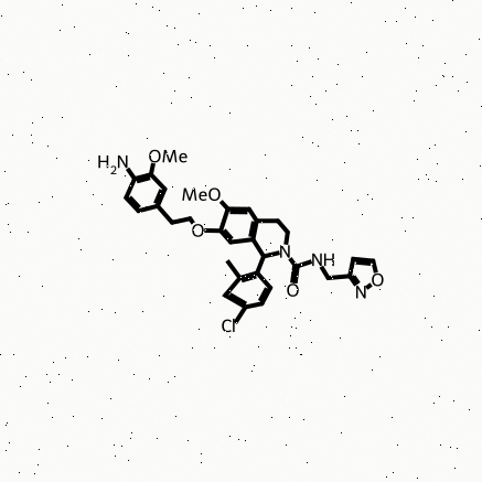 COc1cc(CCOc2cc3c(cc2OC)CCN(C(=O)NCc2ccon2)C3c2ccc(Cl)cc2C)ccc1N